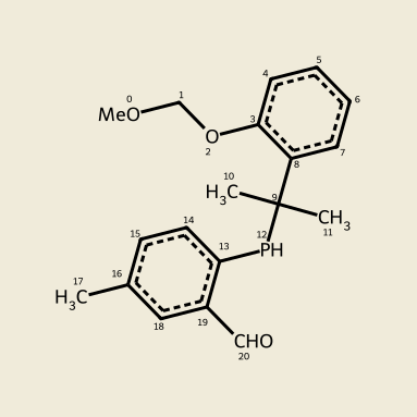 COCOc1ccccc1C(C)(C)Pc1ccc(C)cc1C=O